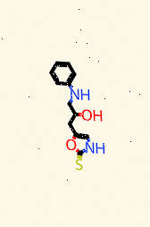 OC(CNc1ccccc1)Cc1c[nH]c(=S)o1